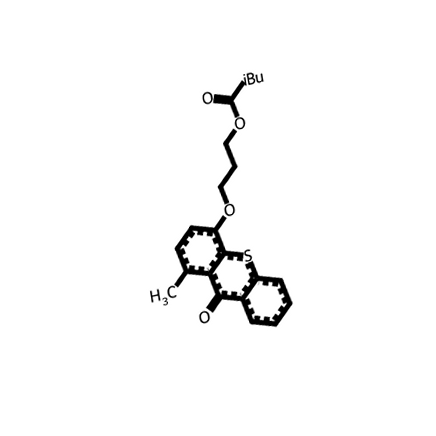 CCC(C)C(=O)OCCCOc1ccc(C)c2c(=O)c3ccccc3sc12